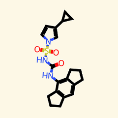 O=C(Nc1c2c(cc3c1CCC3)CCC2)NS(=O)(=O)n1ccc(C2CC2)c1